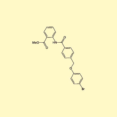 COC(=O)c1ccccc1NC(=O)c1ccc(COc2ccc(Br)cc2)cc1